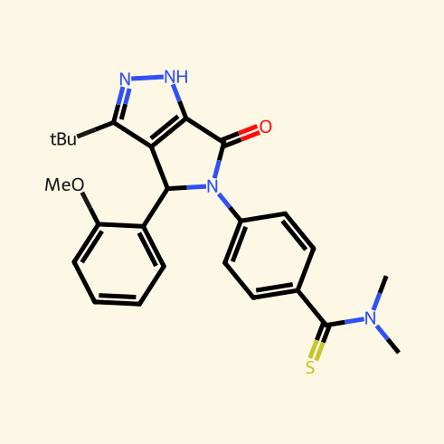 COc1ccccc1C1c2c(C(C)(C)C)n[nH]c2C(=O)N1c1ccc(C(=S)N(C)C)cc1